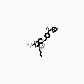 CCCCNc1nc(N)nc2ccn(Cc3ccc(C(=O)N4CC5CC(C4)N5)cc3)c(=O)c12